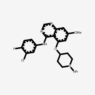 CCCN1CCC(Oc2cc(OC)cc3ncnc(Nc4ccc(F)c(Cl)c4)c23)CC1